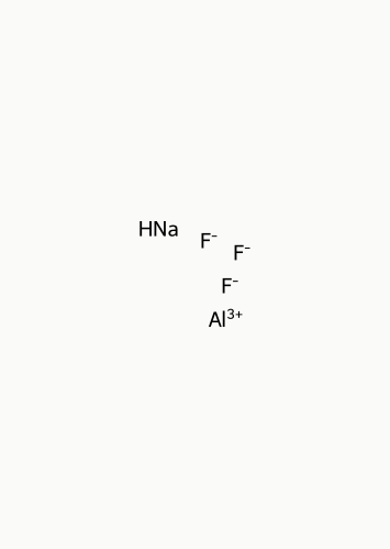 [Al+3].[F-].[F-].[F-].[NaH]